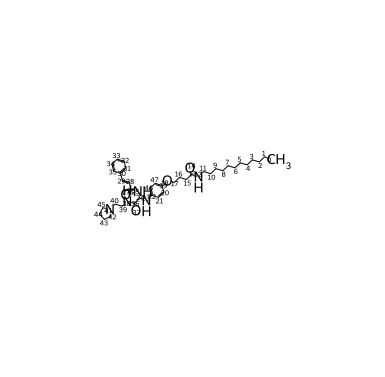 CCCCCCCCCCCCNC(=O)CCCOc1ccc(NC(NC(=O)C=Cc2ccccc2)C(=O)NCCN2CCCC2)cc1